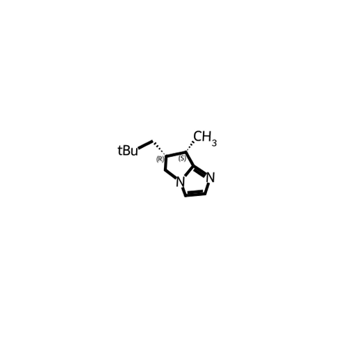 C[C@@H]1c2nccn2C[C@@H]1CC(C)(C)C